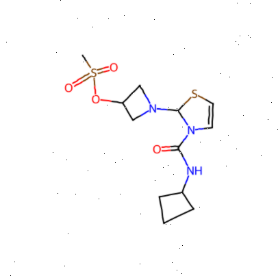 CS(=O)(=O)OC1CN(C2SC=CN2C(=O)NC2CCC2)C1